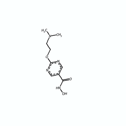 CN(C)CCOc1ncc(C(=O)NO)cn1